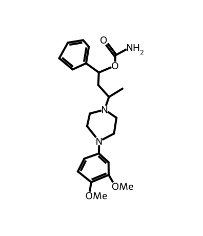 COc1ccc(N2CCN(C(C)CC(OC(N)=O)c3ccccc3)CC2)cc1OC